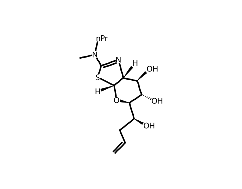 C=CC[C@H](O)[C@H]1O[C@@H]2SC(N(C)CCC)=N[C@@H]2[C@@H](O)[C@@H]1O